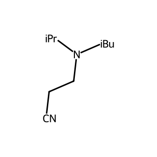 CCC(C)N(CCC#N)C(C)C